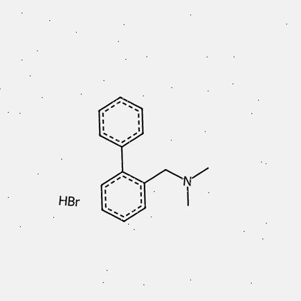 Br.CN(C)Cc1ccccc1-c1ccccc1